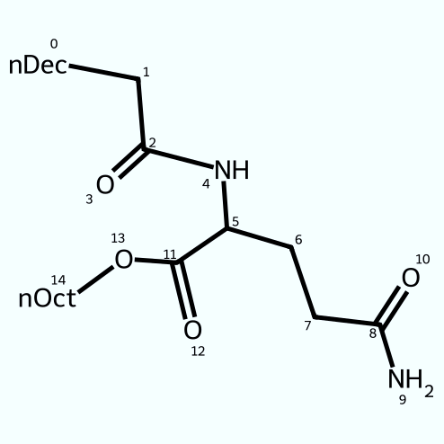 CCCCCCCCCCCC(=O)NC(CCC(N)=O)C(=O)OCCCCCCCC